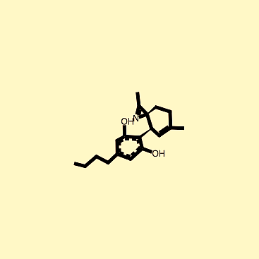 CCCCc1cc(O)c([C@@H]2C=C(C)CC[C@]23N=C3C)c(O)c1